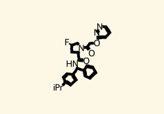 CC(C)c1ccc([C@@H](NC(=O)C2C[C@@H](F)CN2C(=O)COc2cccnn2)c2ccccc2)cc1